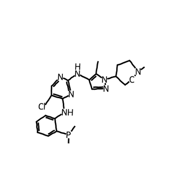 Cc1c(Nc2ncc(Cl)c(Nc3ccccc3P(C)C)n2)cnn1C1CCN(C)CC1